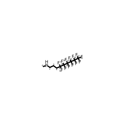 CNCCCC(F)(F)C(F)(F)C(F)(F)C(F)(F)C(F)(F)C(F)(F)F